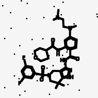 CN(C)CCN(C)c1ccc(C(=O)Nc2n[nH]c3c2CN(S(=O)(=O)c2cc(F)cc(F)c2)CC3(C)C)c(NC(=O)C2CCOCC2)c1